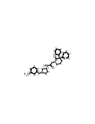 O=C(CN1CCCC(c2ccccc2)(c2ccccc2)C1=O)N[C@@H]1CCN(Cc2cccc(C(F)(F)F)c2)C1